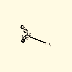 CCCCCCCCCCCCCC(=O)OC(CN1CCN(c2ccccn2)CC1)CN1C(=O)C2C3C=CC(C3)C2C1=O